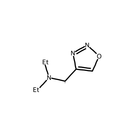 CCN([CH]c1conn1)CC